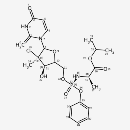 C=C1NC(=O)C=CN1C1OC(CO[P@](=O)(N[C@H](C)C(=O)OC(C)C)Oc2ccccc2)[C@@H](O)[C@@]1(C)Cl